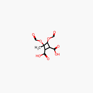 CC1(OC=O)C(OC=O)C(C(=O)O)C1C(=O)O